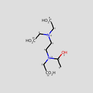 CC(O)N(CCN(CC(=O)O)CC(=O)O)CC(=O)O